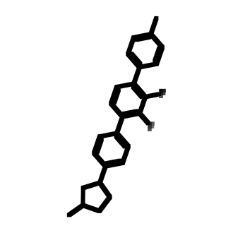 Cc1ccc(-c2ccc(-c3ccc(C4CCC(C)C4)cc3)c(F)c2F)cc1